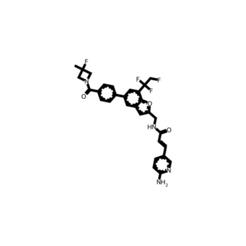 CC1(F)CN(C(=O)c2ccc(-c3cc(C(F)(F)CF)c4oc(CNC(=O)C=Cc5ccc(N)nc5)cc4c3)cc2)C1